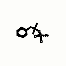 CCCS(=O)(=O)O[Si](C)(C)Cc1ccccc1